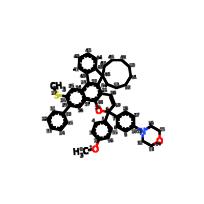 COc1ccc(C2(c3ccc(N4CCOCC4)cc3)C=Cc3c4c(c5cc(SC)c(-c6ccccc6)cc5c3O2)-c2ccccc2C42CCCCCCCC2)cc1